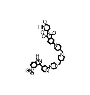 O=C1CCC(N2C(=O)c3ccc(N4CCC(CN5CCC(CN6CCN(c7cc(-c8n[nH]c9ccc([N+](=O)[O-])cc89)ccn7)CC6)CC5)CC4)cc3C2=O)C(=O)N1